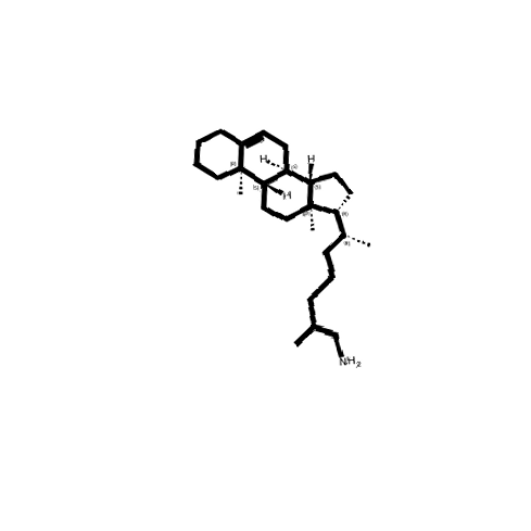 CC(CN)CCC[C@@H](C)[C@H]1CC[C@H]2[C@@H]3CC=C4CCCC[C@]4(C)[C@H]3CC[C@]12C